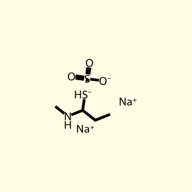 CCC(NC)[SH-]S(=O)(=O)[O-].[Na+].[Na+]